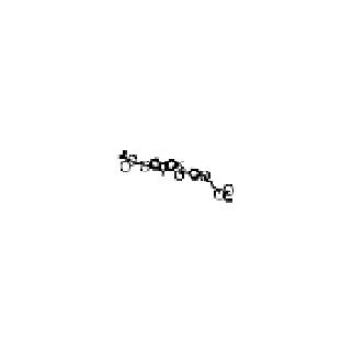 C=CC(=O)OCCCCOc1ccc(C(=O)Sc2ccc3c(c2)C(C)c2cc(OCCOC(=O)C(=C)C)ccc2-3)cc1